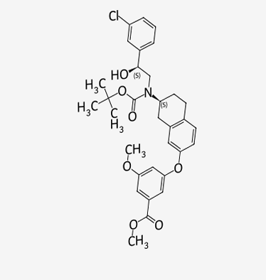 COC(=O)c1cc(OC)cc(Oc2ccc3c(c2)C[C@@H](N(C[C@@H](O)c2cccc(Cl)c2)C(=O)OC(C)(C)C)CC3)c1